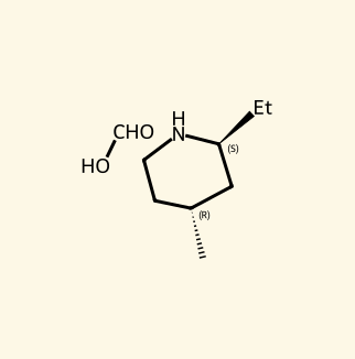 CC[C@H]1C[C@H](C)CCN1.O=CO